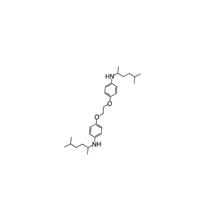 CC(C)CCC(C)Nc1ccc(OCCOc2ccc(NC(C)CCC(C)C)cc2)cc1